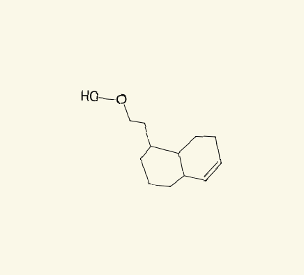 OOCCC1CCCC2C=CCCC21